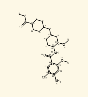 CCC(=S)N1CCC(CN2CC[C@H](NC(=O)c3cc(Cl)c(N)cc3OC)[C@H](OC)C2)CC1